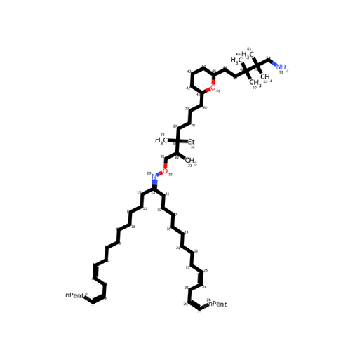 CCCCC/C=C\C/C=C\CCCCCCCCC(CCCCCCCC/C=C\C/C=C\CCCCC)=NOCC(C)C(C)(CC)CCCCC1CCCC(CCC(C)(C)C(C)(C)CN)O1